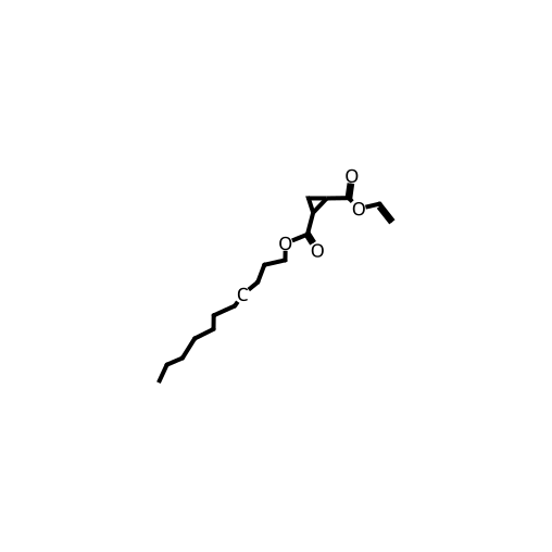 C=COC(=O)C1CC1C(=O)OCCCCCCCCCCC